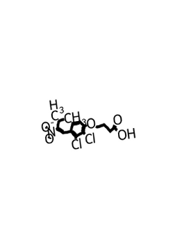 CC(C)/C(=C\c1ccc(OCCCC(=O)O)c(Cl)c1Cl)[N+](=O)[O-]